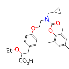 CCOC(Cc1ccc(OCCN(CC2CC2)C(=O)Oc2c(C)cc(C)cc2C)cc1)C(=O)O